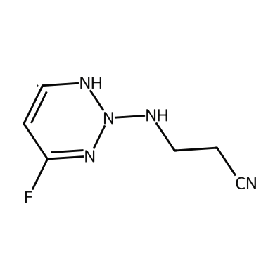 N#CCCNN1N=C(F)C=[C]N1